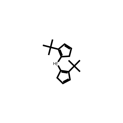 CC(C)(C)C1=[C]([Hf][C]2=C(C(C)(C)C)C=CC2)CC=C1